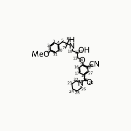 COc1ccc(CC(C)(C)NCC(O)COc2ccc(C(=O)N3CCCCC3)cc2C#N)cc1